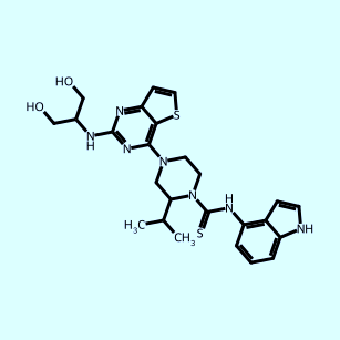 CC(C)C1CN(c2nc(NC(CO)CO)nc3ccsc23)CCN1C(=S)Nc1cccc2[nH]ccc12